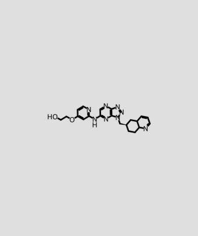 OCCOc1ccnc(Nc2cnc3nnn(C[C@@H]4CCC5N=CC=CC5C4)c3n2)c1